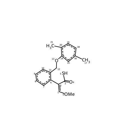 CO/C=C(\C(=O)S)c1ccccc1COc1cc(C)ccc1C